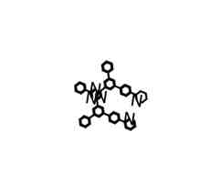 C1=NC(c2ccc(-c3cc(-c4ccccc4)cc(-c4nc(-c5ccccc5)nc(-c5cc(-c6ccccc6)cc(-c6ccc(-c7ccccn7)cc6)c5)n4)c3)cc2)CCC1